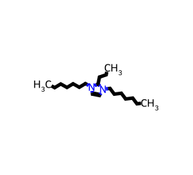 CCCCCCCN1C=CN(CCCCCCC)C1CCC